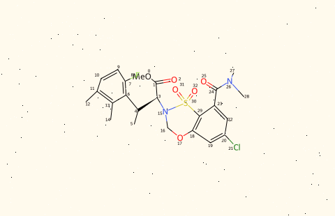 COC(=O)[C@H](C(C)c1c(F)ccc(C)c1C)N1COc2cc(Cl)cc(C(=O)N(C)C)c2S1(=O)=O